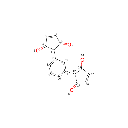 O=C1C=CC(=O)C1c1cccc(C2C(=O)C=CC2=O)c1